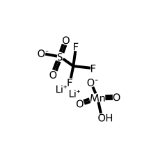 O=S(=O)([O-])C(F)(F)F.[Li+].[Li+].[O]=[Mn](=[O])([O-])[OH]